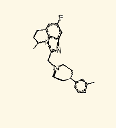 Cc1cccc(C2CCN(Cc3nc4cc(F)cc5c4n3C(C)CC5)CC2)c1